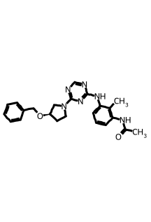 CC(=O)Nc1cccc(Nc2ncnc(N3CC[C@@H](OCc4ccccc4)C3)n2)c1C